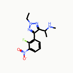 CCn1nc(-c2cccc([N+](=O)[O-])c2F)c(C(C)NC)n1